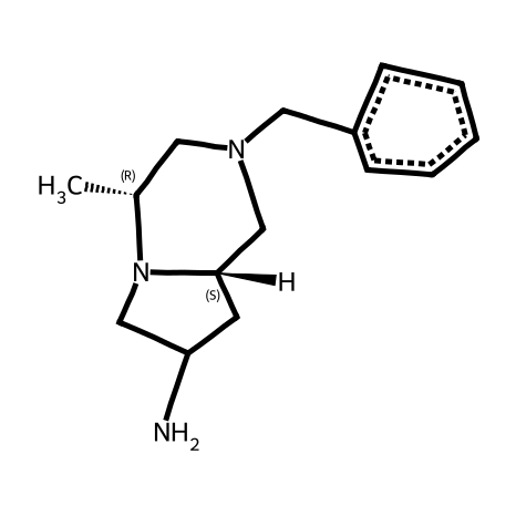 C[C@@H]1CN(Cc2ccccc2)C[C@@H]2CC(N)CN21